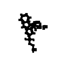 C[Si](C)(CCO)C1=CC[C]([Zr]([CH3])([CH3])(=[SiH2])[CH]2C=Cc3ccccc32)=C1.Cl.Cl